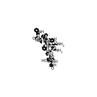 CC(C)C[C@@H](C(=O)N[C@@H](Cc1c[nH]c2ccccc12)C(N)=O)N1CC[C@@]2(CCCN2C(=O)[C@H](Cc2ccc(O)cc2)NC(=O)[C@H](Cc2ccccc2)NC(=O)[C@H](CCCCN)NC(=O)[C@H](CC(N)=O)NC(=O)[C@@H]2CCCN2C(=O)[C@H](CC(=O)O)NC(=O)[C@H](C)NC(=O)[C@@H]2CCC(=O)N2)C1=O